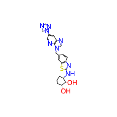 O[C@@H]1[C@H](O)CCC[C@H]1Nc1nc2ccc(Cn3cnc4cc(-n5cncn5)cnc43)cc2s1